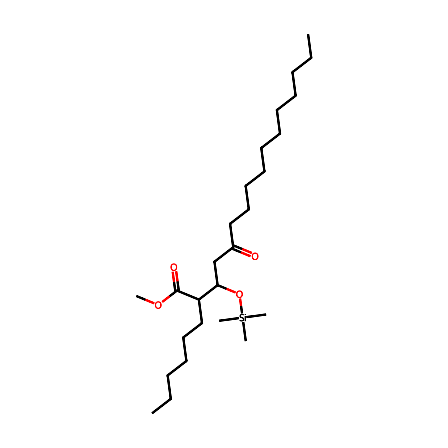 CCCCCCCCCCCC(=O)CC(O[Si](C)(C)C)C(CCCCCC)C(=O)OC